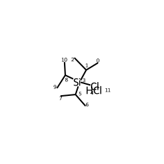 CC(C)[Si](Cl)(C(C)C)C(C)C.Cl